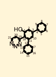 Oc1cc(-c2ccccc2)cc(-c2ccccc2)c1-c1ccnnn1